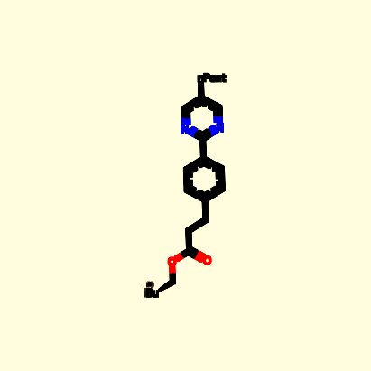 CCCCCc1cnc(-c2ccc(CCC(=O)OC[C@H](C)CC)cc2)nc1